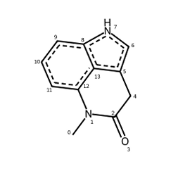 CN1C(=O)Cc2c[nH]c3cccc1c23